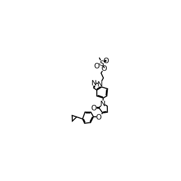 CS(=O)(=O)OCCn1ncc2cc(N3CC=C(Oc4ccc(C5CC5)cc4)C3=O)ccc21